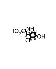 NC(Cc1ccc(O)cc1Cl)C(=O)O